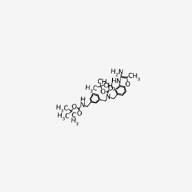 CC1=C(N)Nc2cc(CN(Cc3cccc(CNC(=O)OC(C)(C)C)c3)C(=O)OC(C)(C)C)ccc2O1